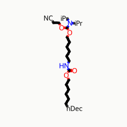 CCCCCCCCCCCCCCCCOC(=O)NCCCCCCOC(OCCC#N)N(C(C)C)C(C)C